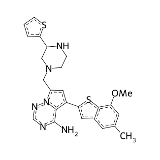 COc1cc(C)cc2cc(-c3cc(CN4CCNC(c5cccs5)C4)n4ncnc(N)c34)sc12